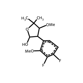 COc1c(C2C(O)OC(C)(C)C2OC)ccc(F)c1F